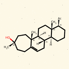 CC(=O)[C@H]1CCC[C@H]2[C@@H]3CC=C4CC[C@](C)(O)CC[C@]4(C)[C@H]3CC[C@]12C